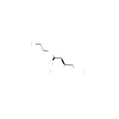 CC/C(C)=C/C(=O)OCCF